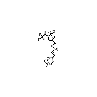 O=C(C1CC(COS(=O)OCC2COS(=O)(=O)O2)OS1(=O)=O)C(F)(F)F